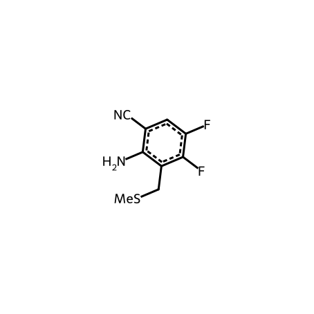 CSCc1c(N)c(C#N)cc(F)c1F